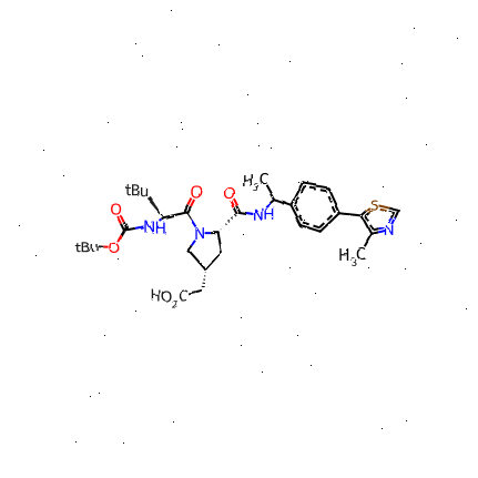 Cc1ncsc1-c1ccc(C(C)NC(=O)[C@@H]2C[C@H](CC(=O)O)CN2C(=O)[C@@H](NC(=O)OC(C)(C)C)C(C)(C)C)cc1